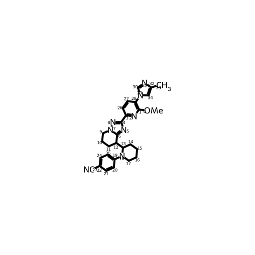 COc1nc(-c2nc3n(n2)CCCC3C2CCCCN2c2ccc(C#N)cc2)ccc1-n1cnc(C)c1